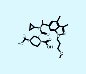 COCCCn1nc(C)c2c(C)cc([C@H](C)N(C(=O)[C@H]3CN(C(=O)O)CCN3C(=O)O)C3CC3)cc21